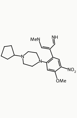 CN/C=C(\C=N)c1cc([N+](=O)[O-])c(OC)cc1N1CCN(C2CCCC2)CC1